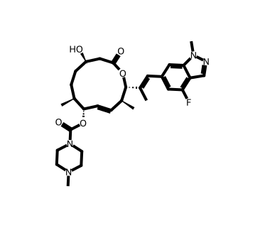 C/C(=C\c1cc(F)c2cnn(C)c2c1)[C@H]1OC(=O)C[C@H](O)CC[C@H](C)[C@@H](OC(=O)N2CCN(C)CC2)/C=C/[C@@H]1C